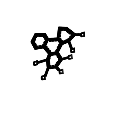 Clc1ccc2c3ccccc3c3c(Cl)c(Cl)c(Cl)c(Cl)c3c2c1Cl